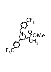 COC(=O)C(C)[C@@H]1C[C@@H](c2ccc(C(F)(F)F)cc2)CN(Cc2ccc(C(F)(F)F)cc2)C1